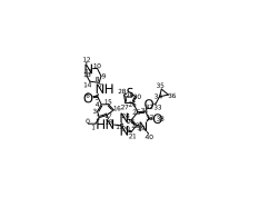 CCc1cc(C(=O)NC2CCN(C)CC2)ccc1Nc1ncc2c(n1)c(-c1ccsc1)c(OCC1CC1)c(=O)n2C